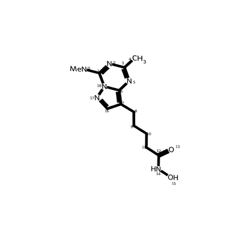 CNc1nc(C)nc2c(CCCCC(=O)NO)cnn12